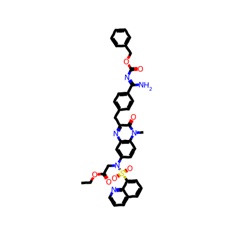 CCOC(=O)CN(c1ccc2c(c1)nc(Cc1ccc(C(N)=NC(=O)OCc3ccccc3)cc1)c(=O)n2C)S(=O)(=O)c1cccc2cccnc12